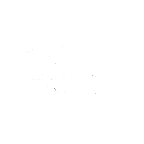 COC(=O)c1cc2c(cc1OC)N[C@@H](C1CC1)[C@H](C)[C@H]2NC(=O)OCc1ccccc1